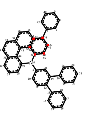 c1ccc(-c2ccc(N(c3ccc(-c4ccccc4)c(-c4ccccc4)c3)c3cccc4ccc5ccc6ccccc6c5c34)cc2)cc1